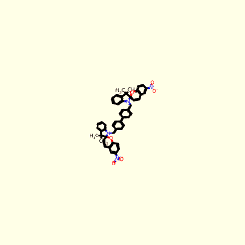 CC1(C)c2ccccc2N(Cc2ccc(-c3ccc(CN4c5ccccc5C(C)(C)C45C=Cc4cc([N+](=O)[O-])ccc4O5)cc3)cc2)C12C=Cc1cc([N+](=O)[O-])ccc1O2